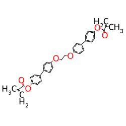 C=C(C)C(=O)Oc1ccc(-c2ccc(OCCOc3ccc(-c4ccc(OC(=O)C(=C)C)cc4)cc3)cc2)cc1